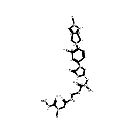 CC(=O)N(C[C@H]1CN(c2ccc(N3Cc4cn(C)nc4C3)c(F)c2)C(=O)O1)C(=O)OCOC(=O)CN(C)C(=O)OC(C)(C)C